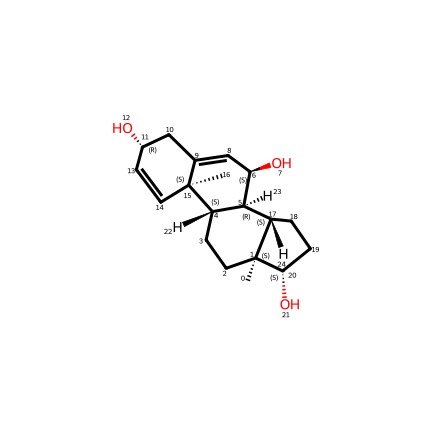 C[C@]12CC[C@H]3[C@@H]([C@H](O)C=C4C[C@@H](O)C=C[C@@]43C)[C@@H]1CC[C@@H]2O